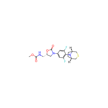 COC(=O)NC[C@H]1CN(c2cc(F)c(N3[C@@H]4CC[C@H]3CSC4)c(F)c2)C(=O)O1